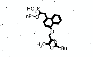 CCCOC(Cc1ccc(OCc2nc(C(C)(C)C)oc2C)c2ccccc12)C(=O)O